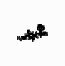 CCC1CC(CN(C)c2cc(F)c(CCN)cc2F)N1C(=O)OC(C)(C)C